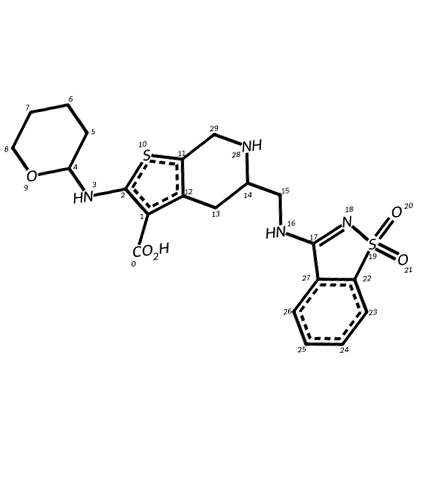 O=C(O)c1c(NC2CCCCO2)sc2c1CC(CNC1=NS(=O)(=O)c3ccccc31)NC2